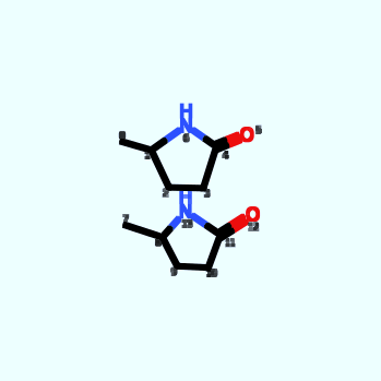 CC1CCC(=O)N1.CC1CCC(=O)N1